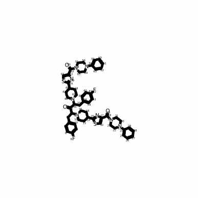 O=C(C(Cc1ccc(F)cc1)N1CCC(c2nc(C(=O)N3CCN(c4ccccc4)CC3)cs2)CC1)C(Cc1ccc(F)cc1)N1CCC(c2nc(C(=O)N3CCN(c4ccccc4)CC3)cs2)CC1